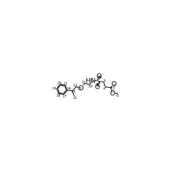 COC(=O)CCS(=O)(=O)NCCOCC(C)c1ccccc1